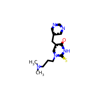 CN(C)CCCn1cc(Cc2cncnc2)c(=O)[nH]c1=S